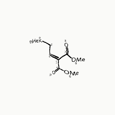 CCCCCCCC=C(C(=O)OC)C(=O)OC